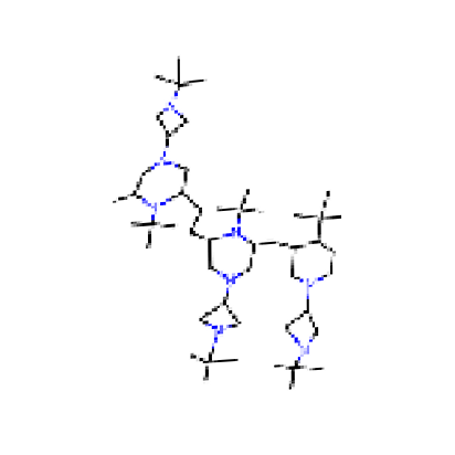 CC1CN(C2CN(C(C)(C)C)C2)CC(CC[C@@H]2CN(C3CN(C(C)(C)C)C3)C[C@H](CC3CN(C4CN(C(C)(C)C)C4)CCC3C(C)(C)C)N2C(C)(C)C)N1C(C)(C)C